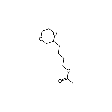 CC(=O)OCCCCC1COCCO1